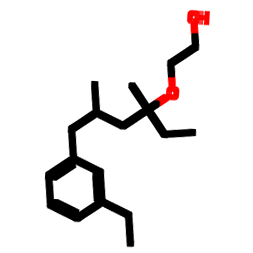 CCc1cccc(CC(C)CC(C)(CC)OCCO)c1